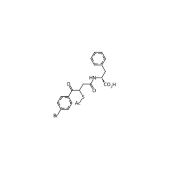 CC(=O)SC(CC(=O)N[C@@H](Cc1ccccc1)C(=O)O)C(=O)c1ccc(Br)cc1